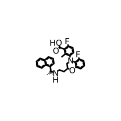 Cc1c(N2CC(CCN[C@H](C)c3cccc4ccccc34)Oc3cccc(F)c32)ccc(F)c1C(=O)O